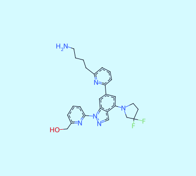 NCCCCc1cccc(-c2cc(N3CCC(F)(F)C3)c3cnn(-c4cccc(CO)n4)c3c2)n1